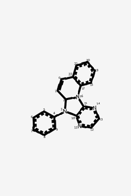 C1=CC2N(c3ccccc3)c3nccnc3N2c2ccccc21